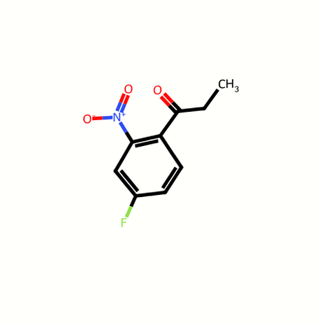 CCC(=O)c1ccc(F)cc1[N+](=O)[O-]